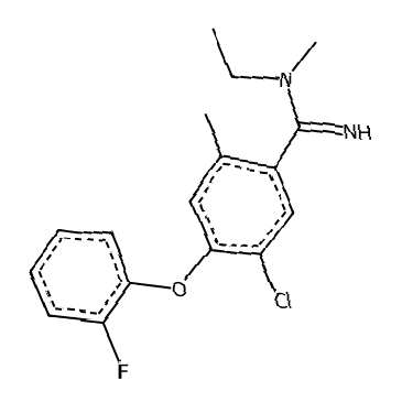 CCN(C)C(=N)c1cc(Cl)c(Oc2ccccc2F)cc1C